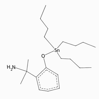 CCC[CH2][Sn]([CH2]CCC)([CH2]CCC)[O]c1ccccc1C(C)(C)N